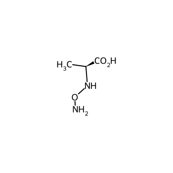 C[C@H](NON)C(=O)O